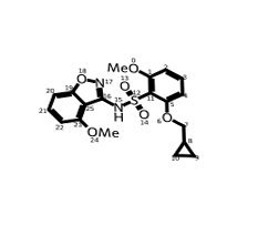 COc1cccc(OCC2CC2)c1S(=O)(=O)Nc1noc2cccc(OC)c12